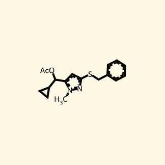 CC(=O)OC(c1cc(SCc2ccccc2)nn1C)C1CC1